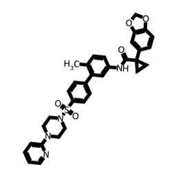 Cc1ccc(NC(=O)C2(c3ccc4c(c3)OCO4)CC2)cc1-c1ccc(S(=O)(=O)N2CCN(c3ccccn3)CC2)cc1